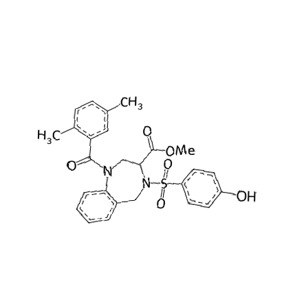 COC(=O)C1CN(C(=O)c2cc(C)ccc2C)c2ccccc2CN1S(=O)(=O)c1ccc(O)cc1